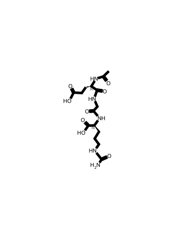 CC(=O)N[C@@H](CCC(=O)O)C(=O)NCC(=O)N[C@@H](CCCNC(N)=O)C(=O)O